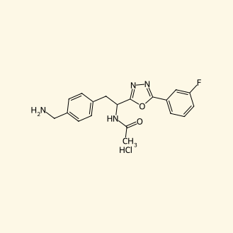 CC(=O)NC(Cc1ccc(CN)cc1)c1nnc(-c2cccc(F)c2)o1.Cl